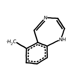 [CH2]c1cccc2c1C=NC=CN2